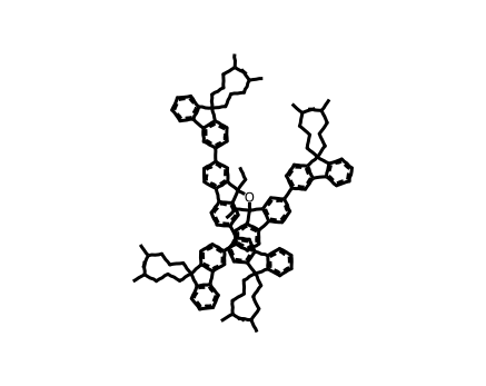 CCC1(OC2(CC)c3cc(-c4ccc5c(c4)-c4ccccc4C5(CCCC(C)C)CCCC(C)C)ccc3-c3ccc(-c4ccc5c(c4)-c4ccccc4C5(CCCC(C)C)CCCC(C)C)cc32)c2cc(-c3ccc4c(c3)-c3ccccc3C4(CCCC(C)C)CCCC(C)C)ccc2-c2ccc(-c3ccc4c(c3)-c3ccccc3C4(CCCC(C)C)CCCC(C)C)cc21